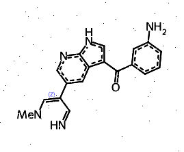 CN/C=C(\C=N)c1cnc2[nH]cc(C(=O)c3cccc(N)c3)c2c1